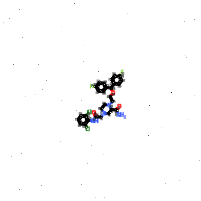 NC(=O)C1CN(CC(=O)Nc2c(Cl)cccc2Cl)CCN1CCOC(c1ccc(F)cc1)c1ccc(F)cc1